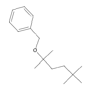 CC(C)(C)CCC(C)(C)OCc1ccccc1